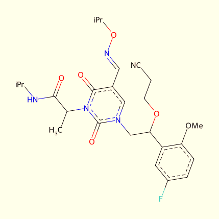 COc1ccc(F)cc1C(Cn1cc(C=NOC(C)C)c(=O)n(C(C)C(=O)NC(C)C)c1=O)OCCC#N